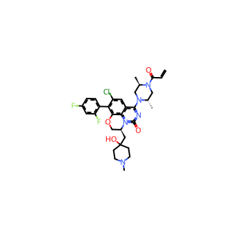 C=CC(=O)N1C[C@H](C)N(c2nc(=O)n3c4c(c(-c5ccc(F)cc5F)c(Cl)cc24)OC[C@@H]3CC2(O)CCN(C)CC2)C[C@H]1C